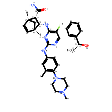 Cc1cc(Nc2ncc(F)c(N[C@H]3[C@@H](C(N)=O)[C@@H]4C=C[C@H]3C4)n2)ccc1N1CCN(C)CC1.O=C(O)[C@@H](O)c1ccccc1